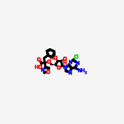 Nc1nc(Cl)nc2c1ncn2[C@@H]1O[C@H](COC(Cc2ccccc2)(C(=O)O)c2cocn2)[C@@H](O)[C@H]1O